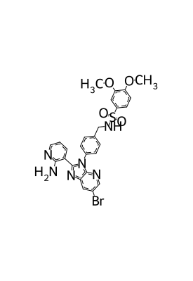 COc1ccc(S(=O)(=O)NCc2ccc(-n3c(-c4cccnc4N)nc4cc(Br)cnc43)cc2)cc1OC